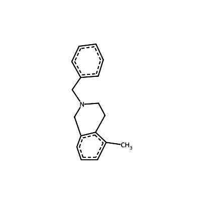 Cc1cccc2c1CCN(Cc1ccccc1)C2